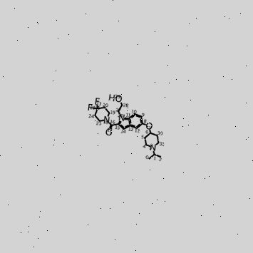 CC(C)N1CCC(Oc2ccc3c(c2)cc(C(=O)N2CCC(F)(F)CC2)n3CCO)CC1